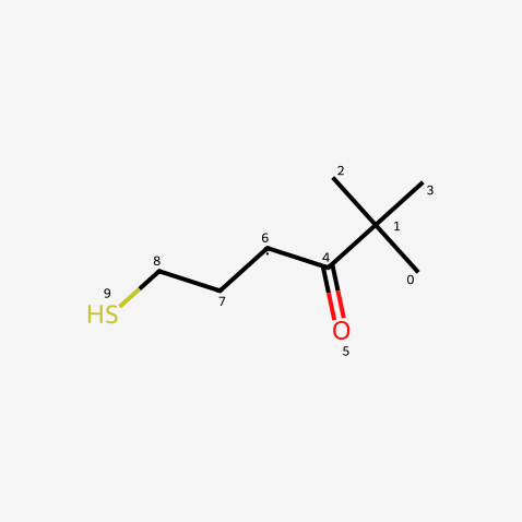 CC(C)(C)C(=O)[CH]CCS